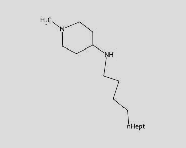 CCCCCCCCCCCNC1CCN(C)CC1